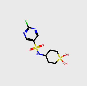 O=S(=O)(NC1CCS(O)(O)CC1)c1cnc(Cl)nc1